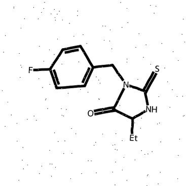 CCC1NC(=S)N(Cc2ccc(F)cc2)C1=O